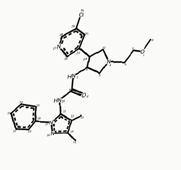 COCCN1CC(NC(=O)Nc2c(C)c(C)nn2-c2ccccc2)C(c2cncc(Cl)c2)C1